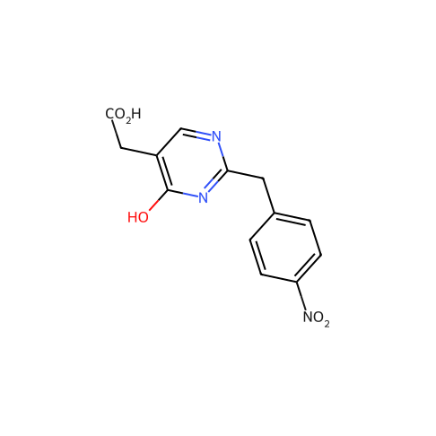 O=C(O)Cc1cnc(Cc2ccc([N+](=O)[O-])cc2)nc1O